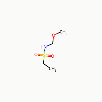 CCS(=O)(=O)N[CH]OC